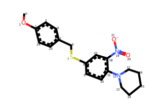 COc1ccc(CSc2ccc(N3CCCCC3)c([N+](=O)[O-])c2)cc1